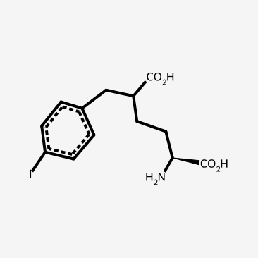 N[C@@H](CCC(Cc1ccc(I)cc1)C(=O)O)C(=O)O